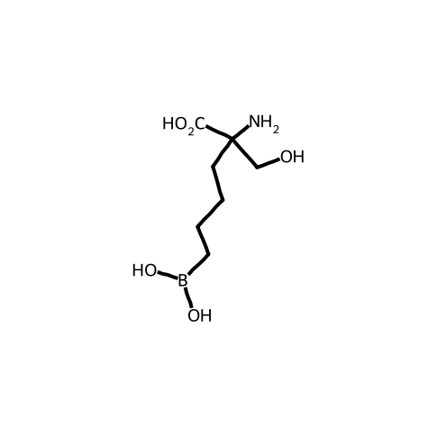 NC(CO)(CCCCB(O)O)C(=O)O